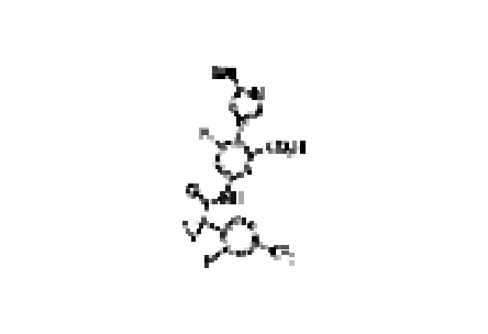 CC(C)(C)c1cn(-c2c(F)cc(NC(=O)C3(c4ccc(C(F)(F)F)cc4F)CC3)cc2C(=O)O)cn1